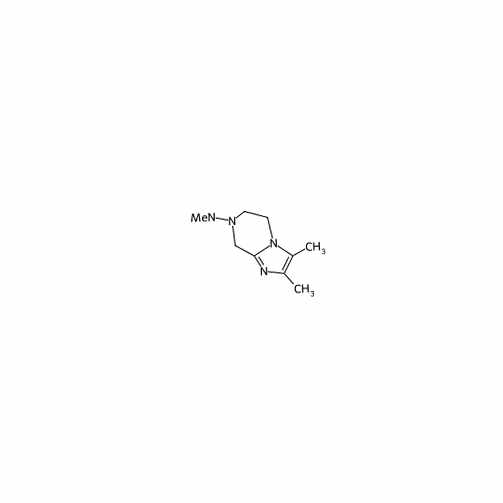 CNN1CCn2c(nc(C)c2C)C1